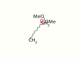 C=CCCCCCCCC[SiH2]OC(COC)OC